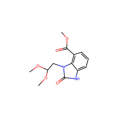 COC(=O)c1cccc2[nH]c(=O)n(CC(OC)OC)c12